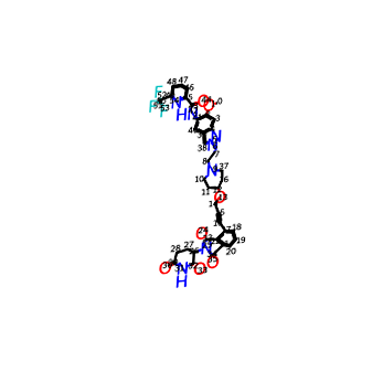 COc1cc2nn(CCN3CCC(OCC#Cc4cccc5c4C(=O)N(C4CCC(=O)NC4=O)C5=O)CC3)cc2cc1NC(=O)c1cccc(C(F)(F)F)n1